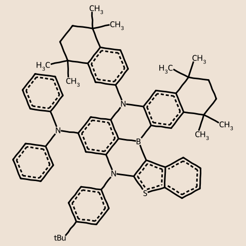 CC(C)(C)c1ccc(N2c3cc(N(c4ccccc4)c4ccccc4)cc4c3B(c3cc5c(cc3N4c3ccc4c(c3)C(C)(C)CCC4(C)C)C(C)(C)CCC5(C)C)c3c2sc2ccccc32)cc1